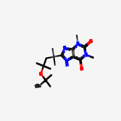 Cn1c(=O)c2[nH]c(C(C)(C)CC(C)(C)O[Si](C)(C)C(C)(C)C)nc2n(C)c1=O